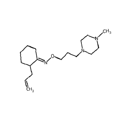 C=CCC1CCCCC1=NOCCCN1CCN(C)CC1